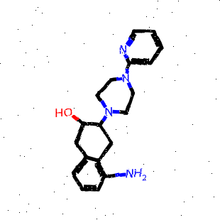 Nc1cccc2c1CC(N1CCN(c3ccccn3)CC1)C(O)C2